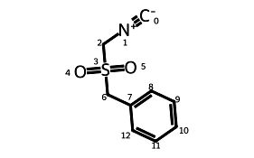 [C-]#[N+]CS(=O)(=O)Cc1ccccc1